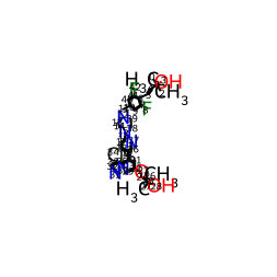 CC(C)(O)C#Cc1c(F)cc(CN2CCN(c3ccc(-c4cc(OCC(C)(C)O)cn5ncc(C#N)c45)cn3)CC2)cc1F